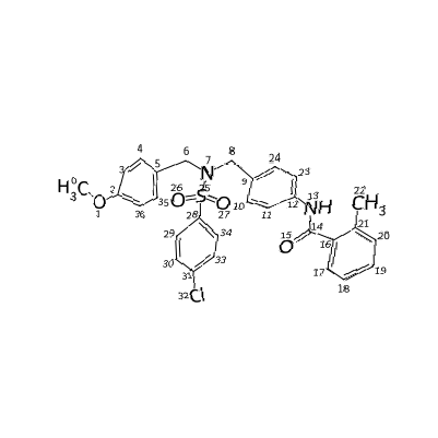 COc1ccc(CN(Cc2ccc(NC(=O)c3ccccc3C)cc2)S(=O)(=O)c2ccc(Cl)cc2)cc1